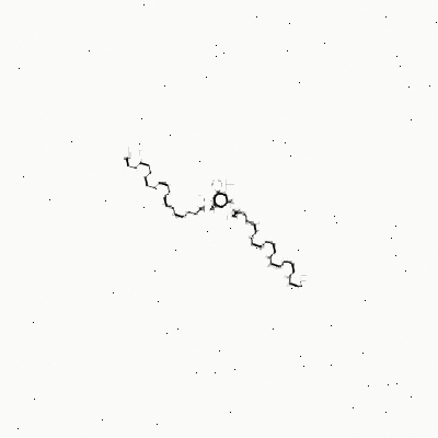 CC/C=C\C/C=C\C/C=C\C/C=C\C/C=C\C/C=C\CCC(=O)Oc1cc(O)cc(OC(=O)CC/C=C\C/C=C\C/C=C\C/C=C\C/C=C\C/C=C\CC)c1